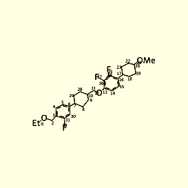 CCOCc1ccc(C2CCC(COc3ccc(C4CCC(OC)CC4)c(F)c3F)CC2)cc1F